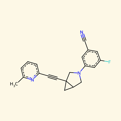 Cc1cccc(C#CC23CC2CN(c2cc(F)cc(C#N)c2)C3)n1